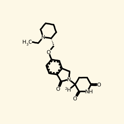 [2H]C1(N2Cc3cc(OC[C@H]4CCCCN4CC)ccc3C2=O)CCC(=O)NC1=O